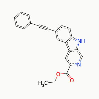 CCOC(=O)c1cc2c(cn1)[nH]c1ccc(C#Cc3ccccc3)cc12